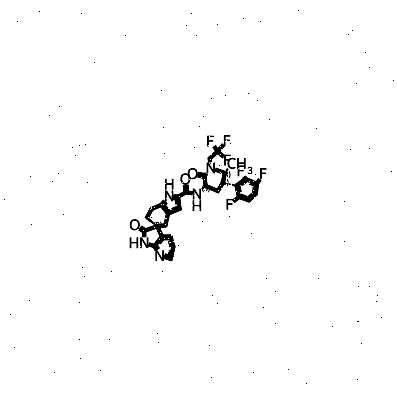 C[C@@H]1[C@H](c2c(F)ccc(F)c2F)C[C@H](NC(=O)c2cc3c([nH]2)CC[C@]2(C3)C(=O)Nc3ncccc32)C(=O)N1CC(F)(F)F